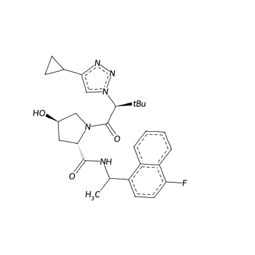 CC(NC(=O)[C@@H]1C[C@@H](O)CN1C(=O)[C@@H](n1cc(C2CC2)nn1)C(C)(C)C)c1ccc(F)c2ccccc12